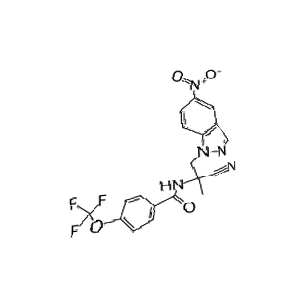 CC(C#N)(Cn1ncc2cc([N+](=O)[O-])ccc21)NC(=O)c1ccc(OC(F)(F)F)cc1